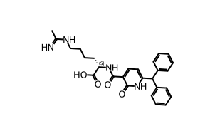 CC(=N)NCCCC[C@H](NC(=O)c1ccc(C(c2ccccc2)c2ccccc2)[nH]c1=O)C(=O)O